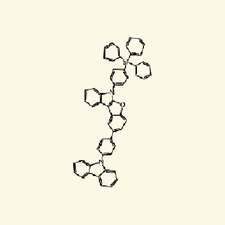 c1ccc([Si](c2ccccc2)(c2ccccc2)c2ccc(-n3c4ccccc4c4c5cc(-c6ccc(-n7c8ccccc8c8ccccc87)cc6)ccc5oc43)cc2)cc1